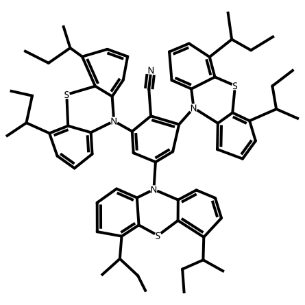 CCC(C)c1cccc2c1Sc1c(C(C)CC)cccc1N2c1cc(N2c3cccc(C(C)CC)c3Sc3c(C(C)CC)cccc32)c(C#N)c(N2c3cccc(C(C)CC)c3Sc3c(C(C)CC)cccc32)c1